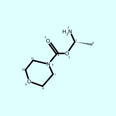 C[C@@H](N)OC(=O)N1CCOCC1